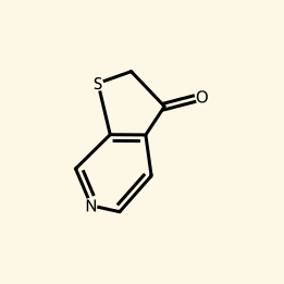 O=C1CSc2cnccc21